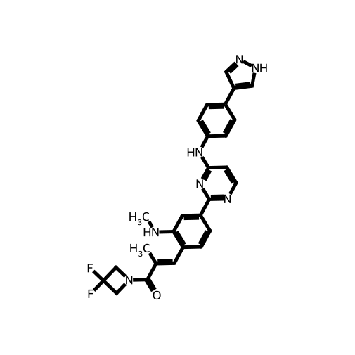 CNc1cc(-c2nccc(Nc3ccc(-c4cn[nH]c4)cc3)n2)ccc1/C=C(\C)C(=O)N1CC(F)(F)C1